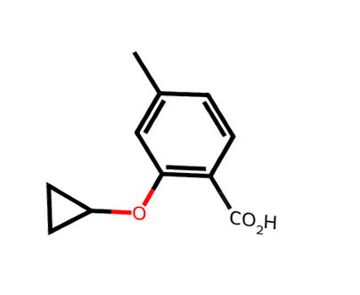 Cc1ccc(C(=O)O)c(OC2CC2)c1